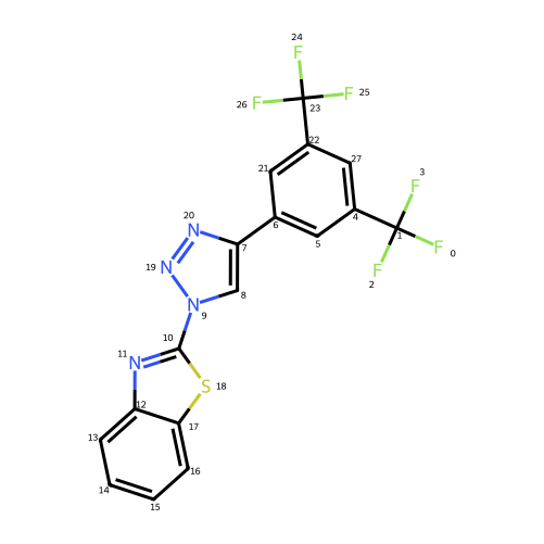 FC(F)(F)c1cc(-c2cn(-c3nc4ccccc4s3)nn2)cc(C(F)(F)F)c1